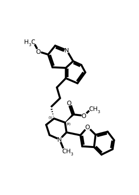 COC(=O)[C@H]1C(c2cc3ccccc3o2)N(C)CC[C@@H]1CCCc1cccc2ncc(OC)cc12